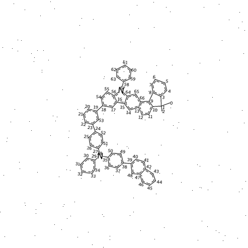 CC1(C)c2ccccc2-c2c1ccc1cc3c4cc(-c5cccc(-c6ccc(N(c7ccccc7)c7ccc(-c8ccc9ccccc9c8)cc7)cc6)c5)ccc4n(-c4ccccc4)c3cc21